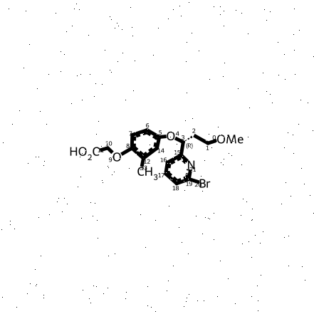 COCC[C@@H](Oc1ccc(OCC(=O)O)c(C)c1)c1cccc(Br)n1